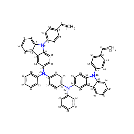 C=Cc1ccc(-n2c3ccccc3c3cc(N(c4ccccc4)c4ccc(N(c5ccccc5)c5ccc6c(c5)c5ccccc5n6-c5ccc(C=C)cc5)cc4)ccc32)cc1